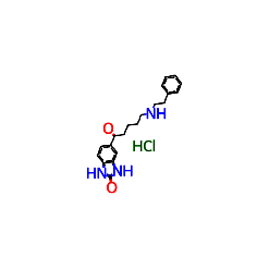 Cl.O=C(CCCCNCCc1ccccc1)c1ccc2[nH]c(=O)[nH]c2c1